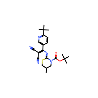 CC1CS/C(=N\C(=C(C#N)C#N)c2ccc(C(C)(C)C)nc2)N(C(=O)OC(C)(C)C)C1